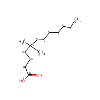 CCCCCCCC(C)(C)CCCC(=O)O